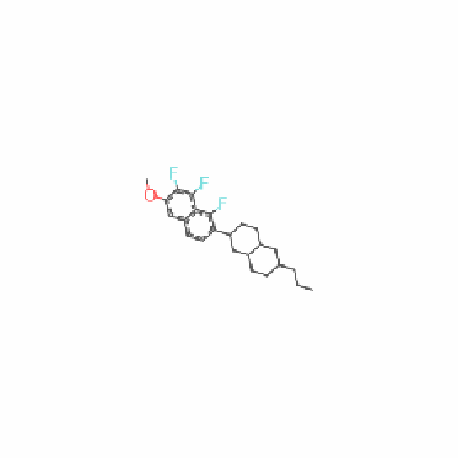 CCCC1CCC2CC(c3ccc4cc(OC)c(F)c(F)c4c3F)CCC2C1